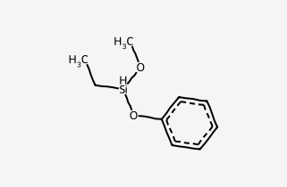 CC[SiH](OC)Oc1ccccc1